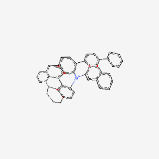 c1ccc(-c2ccc(-c3ccccc3N(c3ccc4ccccc4c3)c3ccccc3-c3cccc4cccc(C5CCCCC5)c34)cc2)cc1